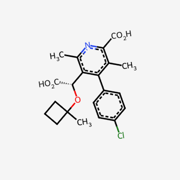 Cc1nc(C(=O)O)c(C)c(-c2ccc(Cl)cc2)c1[C@H](OC1(C)CCC1)C(=O)O